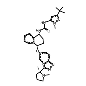 CN1CCC[C@@]1(C)c1nnc2ccc(O[C@@H]3CC[C@H](NC(=O)Nc4cc(C(C)(C)C)nn4C)c4ccccc43)cn12